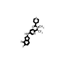 CN(C(=O)C1CCSCC1)[C@@H](c1ccc(NC2Cc3ccc(F)c(F)c3C2)cn1)C(F)(F)F